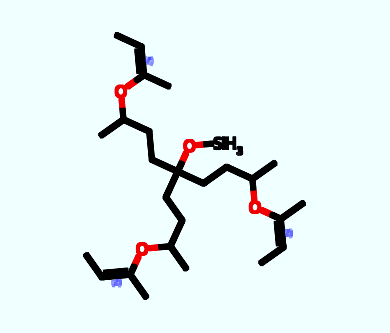 C/C=C(/C)OC(C)CCC(CCC(C)O/C(C)=C\C)(CCC(C)O/C(C)=C\C)O[SiH3]